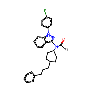 CCC(=O)N(c1nn(-c2ccc(F)cc2)c2ccccc12)C1CCC(CCCc2ccccc2)CC1